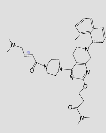 Cc1cccc2cccc(N3CCc4c(nc(OCCC(=O)N(C)C)nc4N4CCN(C(=O)/C=C/CN(C)C)CC4)C3)c12